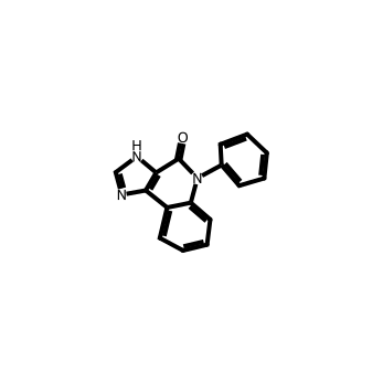 O=c1c2[nH]cnc2c2ccccc2n1-c1ccccc1